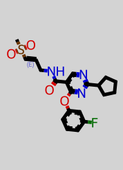 CS(=O)(=O)/C=C/CNC(=O)c1cnc(C2CCCC2)nc1Oc1cccc(F)c1